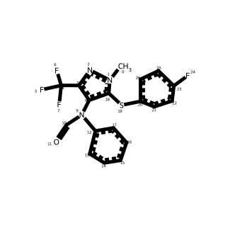 Cn1nc(C(F)(F)F)c(N(C=O)c2ccccc2)c1Sc1ccc(F)cc1